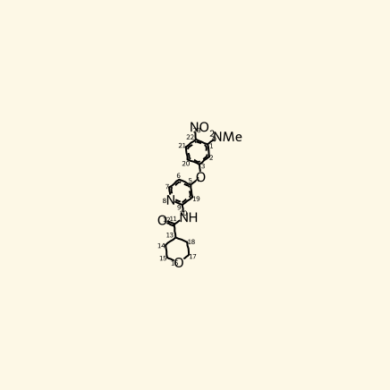 CNc1cc(Oc2ccnc(NC(=O)C3CCOCC3)c2)ccc1[N+](=O)[O-]